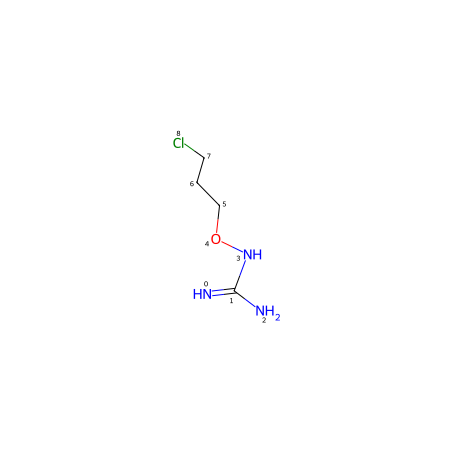 N=C(N)NOCCCCl